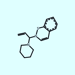 C=CC(N1CCCCC1)N1C=Cc2ccccc2S1